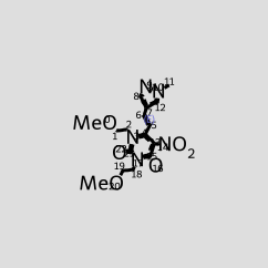 COCCn1c(/C=C/c2cnn(C)c2)c([N+](=O)[O-])c(=O)n(CCOC)c1=O